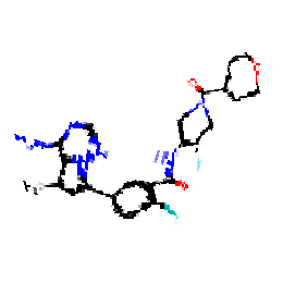 Nc1ncnn2c(-c3ccc(F)c(C(=O)N[C@@H]4CN(C(=O)C5CCOCC5)C[C@@H]4F)c3)cc(C(F)(F)F)c12